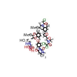 CC1(C)OC(c2ccco2)CN1C(=O)C(Cl)Cl.CCc1ccc(COc2ccc(-n3c(=O)cc(C(F)(F)F)n(C)c3=O)cc2)c(OC(C)C(=O)OC)c1.CCc1cccc(C)c1N(C(=O)CCl)C(C)COC.O=C(O)CNCP(=O)(O)O